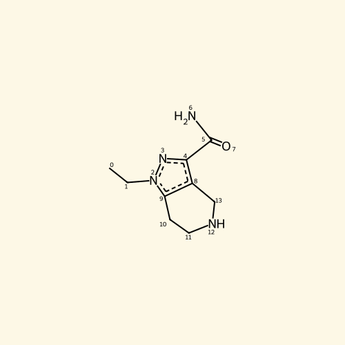 CCn1nc(C(N)=O)c2c1CCNC2